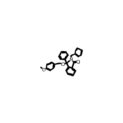 COc1ccc(COC2(c3ccccc3)c3ccccc3C(=O)N2Cc2ccccc2)cc1